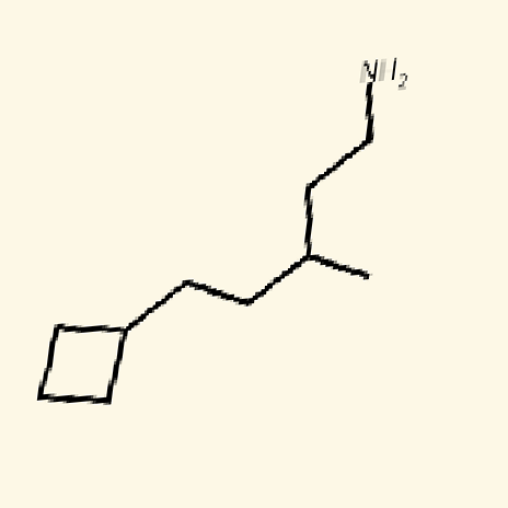 CC(CCN)CCC1CCC1